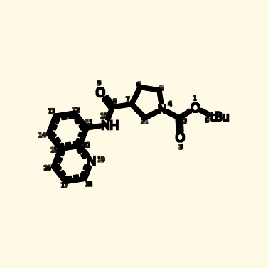 CC(C)(C)OC(=O)N1CCC(C(=O)Nc2cccc3cccnc23)C1